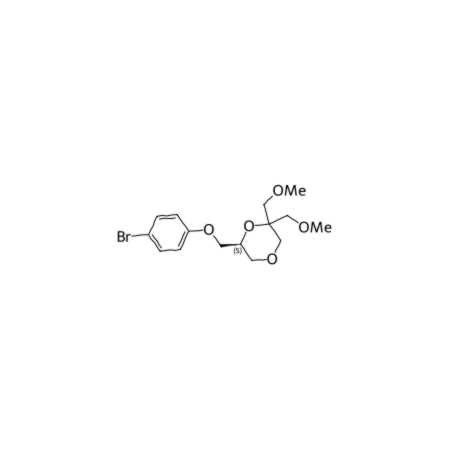 COCC1(COC)COC[C@@H](COc2ccc(Br)cc2)O1